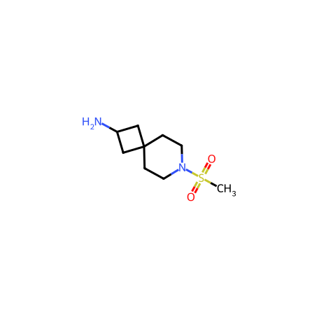 CS(=O)(=O)N1CCC2(CC1)CC(N)C2